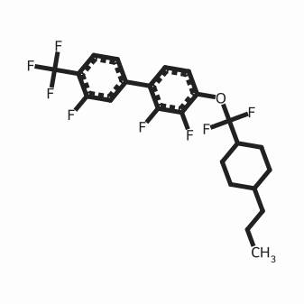 CCCC1CCC(C(F)(F)Oc2ccc(-c3ccc(C(F)(F)F)c(F)c3)c(F)c2F)CC1